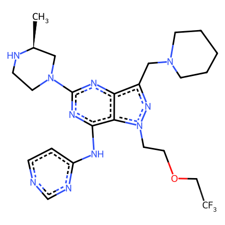 C[C@H]1CN(c2nc(Nc3ccncn3)c3c(n2)c(CN2CCCCC2)nn3CCOCC(F)(F)F)CCN1